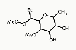 CCC(OOC)C1OC(C)C(O)C(O)C1OC